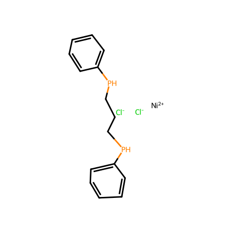 [Cl-].[Cl-].[Ni+2].c1ccc(PCCCPc2ccccc2)cc1